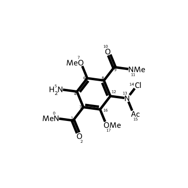 CNC(=O)c1c(N)c(OC)c(C(=O)NC)c(N(Cl)C(C)=O)c1OC